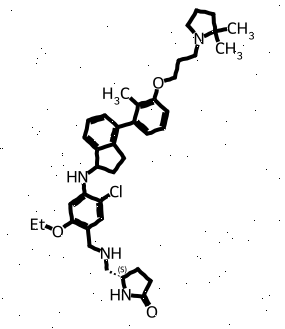 CCOc1cc(NC2CCc3c(-c4cccc(OCCCN5CCCC5(C)C)c4C)cccc32)c(Cl)cc1CNC[C@@H]1CCC(=O)N1